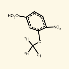 [2H]C([2H])([2H])Oc1nc(C(=O)O)ccc1[N+](=O)[O-]